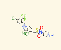 Cl.O=C1S/C(=C\c2ccc3c(cnn3Cc3ccc(Cl)cc3C(F)(F)F)c2)C(=O)N1C1CCNCC1